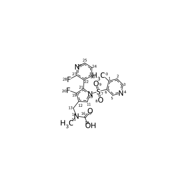 Cc1ccncc1S(=O)(=O)n1cc(CN(C)C(=O)O)c(F)c1-c1cccnc1F